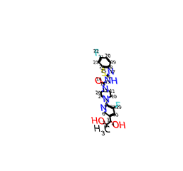 C[C@@H](O)[C@H](O)c1cnc(N2CCN(C(=O)Nc3nc4ccc(F)cc4s3)CC2)c(F)c1